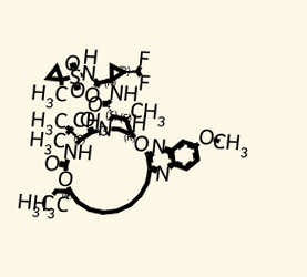 CC[C@]1(C)CCCCCCCc2nc3ccc(OC)cc3nc2O[C@H]2CN(C(=O)[C@H](C(C)(C)C)NC(=O)O1)[C@H](C(=O)N[C@]1(C(=O)NS(=O)(=O)C3(C)CC3)C[C@H]1C(F)F)[C@@H]2C